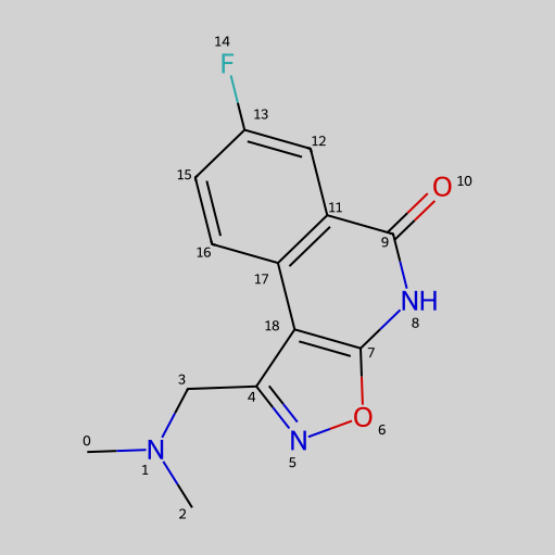 CN(C)Cc1noc2[nH]c(=O)c3cc(F)ccc3c12